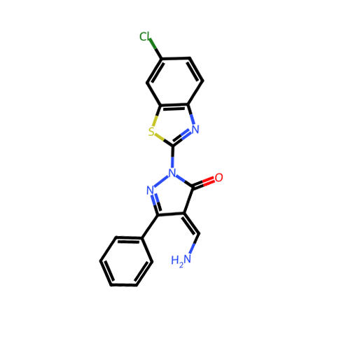 N/C=C1/C(=O)N(c2nc3ccc(Cl)cc3s2)N=C1c1ccccc1